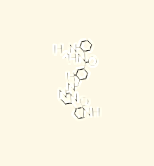 Nc1ccccc1NC(=O)c1ccc(CNc2nccc(-c3ccc[nH]c3=O)n2)cc1